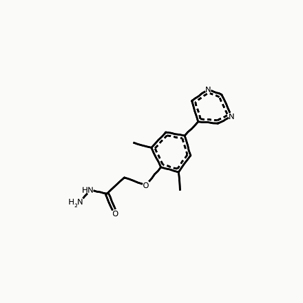 Cc1cc(-c2cncnc2)cc(C)c1OCC(=O)NN